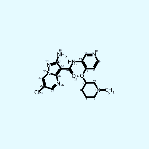 CN1CCCC(Oc2ccncc2NC(=O)c2c(N)nn3cc(Cl)cnc23)C1